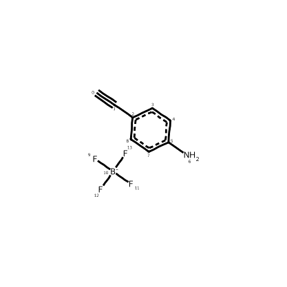 C#Cc1ccc(N)cc1.F[B-](F)(F)F